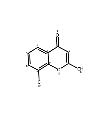 Cc1cc(=O)c2cccc(Cl)c2o1